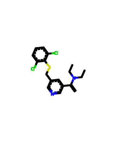 C=C(c1cncc(CSc2c(Cl)cccc2Cl)c1)N(CC)CC